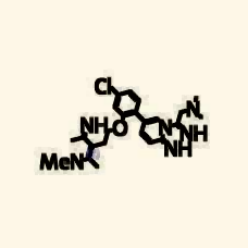 CN/C(C)=C(/CCOc1cc(Cl)ccc1-c1ccc(=N)n(C(=N)CN(C)C)c1)C(C)=N